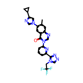 Cc1cc2ncn(-c3cccc(-c4nncn4CC(F)(F)F)n3)c(=O)c2cc1-n1cnc(C2CC2)c1